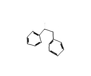 C[C@H](c1ccccc1)[C@@H](C=O)c1ccccc1